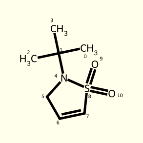 CC(C)(C)N1CC=CS1(=O)=O